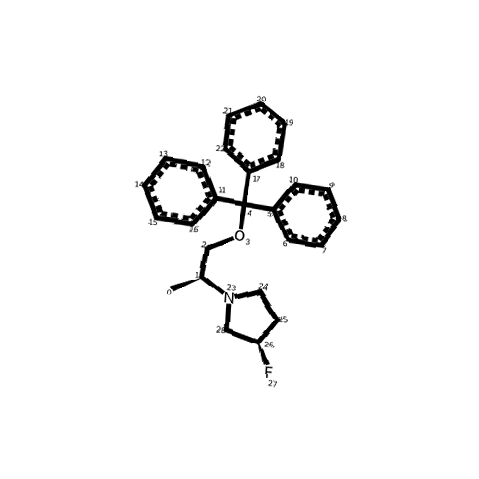 C[C@@H](COC(c1ccccc1)(c1ccccc1)c1ccccc1)N1CC[C@@H](F)C1